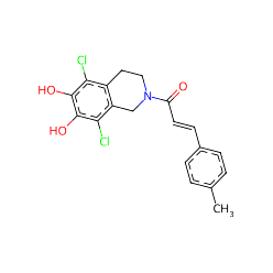 Cc1ccc(/C=C/C(=O)N2CCc3c(Cl)c(O)c(O)c(Cl)c3C2)cc1